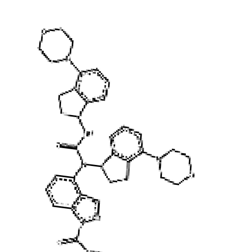 COC(=O)n1ncc2c(N(C(=O)NC3CCc4c3cccc4N3CCOCC3)C3CCc4c3cccc4N3CCOCC3)cccc21